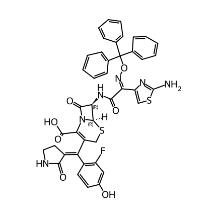 Nc1nc(C(=NOC(c2ccccc2)(c2ccccc2)c2ccccc2)C(=O)N[C@@H]2C(=O)N3C(C(=O)O)=C(C(=C4CCNC4=O)c4ccc(O)cc4F)CS[C@H]23)cs1